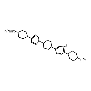 CCCCCC1CCC(c2ccc(C3CCC(c4ccc(C5CCC(CCC)CC5)c(F)c4)CC3)cc2)CC1